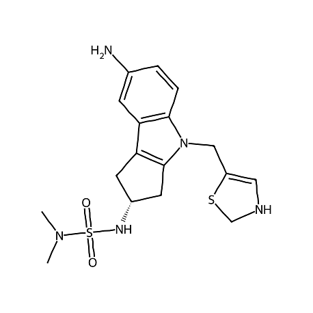 CN(C)S(=O)(=O)N[C@@H]1Cc2c(n(CC3=CNCS3)c3ccc(N)cc23)C1